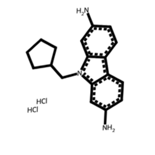 Cl.Cl.Nc1ccc2c3ccc(N)cc3n(CC3CCCC3)c2c1